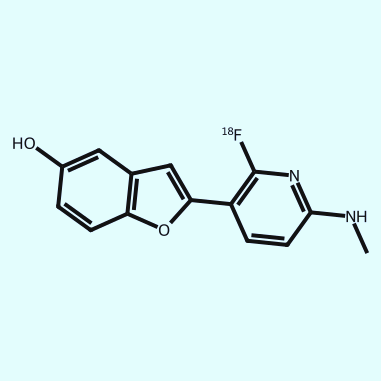 CNc1ccc(-c2cc3cc(O)ccc3o2)c([18F])n1